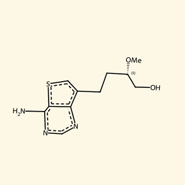 CO[C@H](CO)CCc1csc2c(N)ncnc12